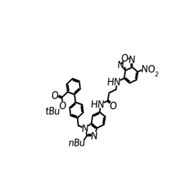 CCCCc1nc2ccc(NC(=O)CCNc3ccc([N+](=O)[O-])c4nonc34)cc2n1Cc1ccc(-c2ccccc2C(=O)OC(C)(C)C)cc1